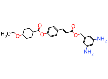 CCOC1CCC(C(=O)Oc2ccc(/C=C/C(=O)OCc3cc(N)cc(N)c3)cc2)CC1